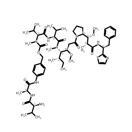 CC[C@H](C)[C@@H]([C@@H](CC(=O)N1CCC[C@H]1[C@H](OC)[C@@H](C)C(=O)N[C@@H](Cc1ccccc1)c1nccs1)OC)N(C)C(=O)[C@@H](NC(=O)[C@H](C(C)C)N(C)C(=O)OCc1ccc(NC(=O)[C@H](C)NC(=O)[C@@H](N)C(C)C)cc1)C(C)C